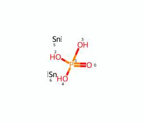 O=P(O)(O)O.[Sn].[Sn]